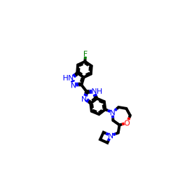 Fc1ccc2c(-c3nc4ccc(N5CCCOC(CN6CCC6)C5)cc4[nH]3)n[nH]c2c1